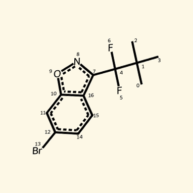 CC(C)(C)C(F)(F)c1noc2cc(Br)ccc12